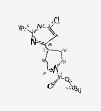 CC(C)c1nc(Cl)cc(C2CCN(C(=O)OC(C)(C)C)CC2)n1